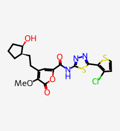 COc1c(CC[C@H]2CCC[C@H]2O)cc(C(=O)Nc2nnc(-c3sccc3Cl)s2)oc1=O